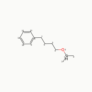 C[SiH](C)OCCCCc1ccccc1